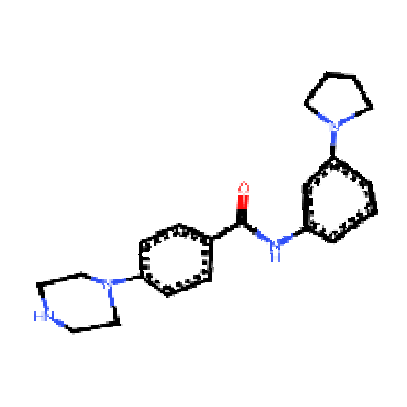 O=C(Nc1cccc(N2CCCC2)c1)c1ccc(N2CCNCC2)cc1